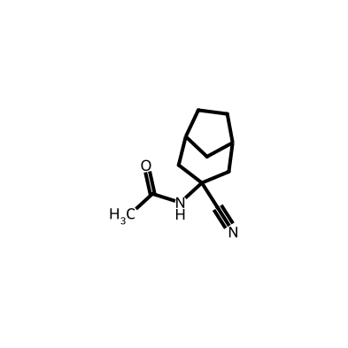 CC(=O)NC1(C#N)CC2CCC(C2)C1